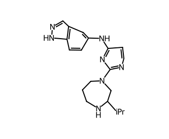 CC(C)C1CN(c2nccc(Nc3ccc4[nH]ncc4c3)n2)CCCN1